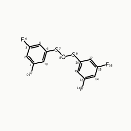 Fc1cc(F)cc(SOSc2cc(F)cc(F)c2)c1